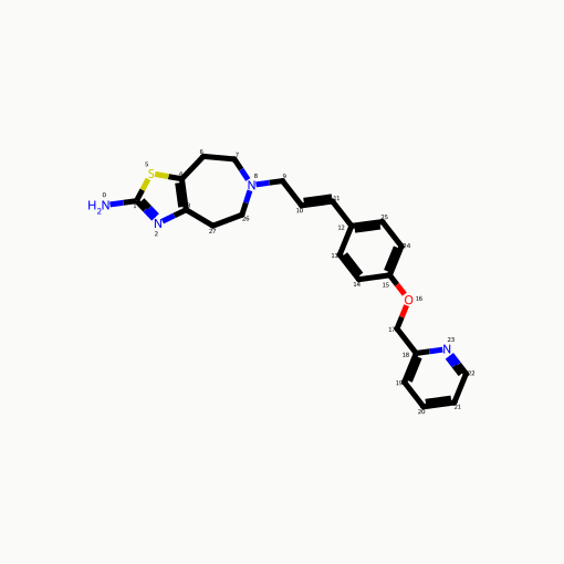 Nc1nc2c(s1)CCN(C/C=C/c1ccc(OCc3ccccn3)cc1)CC2